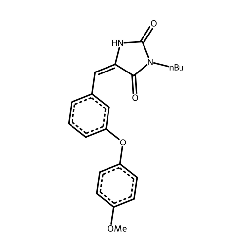 CCCCN1C(=O)N/C(=C/c2cccc(Oc3ccc(OC)cc3)c2)C1=O